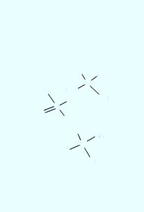 CCCCCCCCP(=O)([O-])[O-].CCCC[P+](C)(CCCC)CCCC.CCCC[P+](C)(CCCC)CCCC